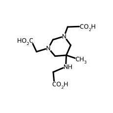 CC1(NCC(=O)O)CN(CC(=O)O)CN(CC(=O)O)C1